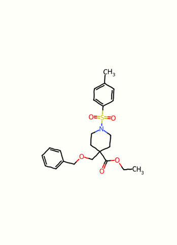 CCOC(=O)C1(COCc2ccccc2)CCN(S(=O)(=O)c2ccc(C)cc2)CC1